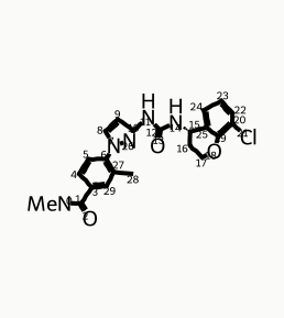 CNC(=O)c1ccc(-n2ccc(NC(=O)N[C@H]3CCOc4c(Cl)cccc43)n2)c(C)c1